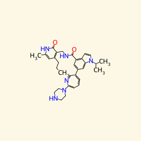 CCCc1cc(C)[nH]c(=O)c1CNC(=O)c1cc(C2=C=CC=C(N3CCNCC3)N=C2)cc2c1ccn2C(C)C